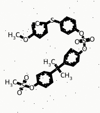 COc1ccc(Sc2ccc(OS(=O)(=O)Oc3ccc(C(C)(C)c4ccc(OS(C)(=O)=O)cc4)cc3)cc2)cc1